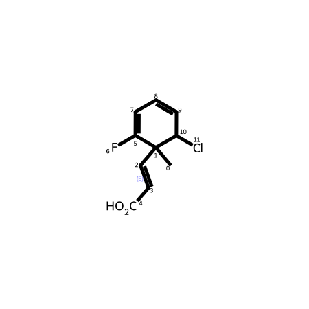 CC1(/C=C/C(=O)O)C(F)=CC=CC1Cl